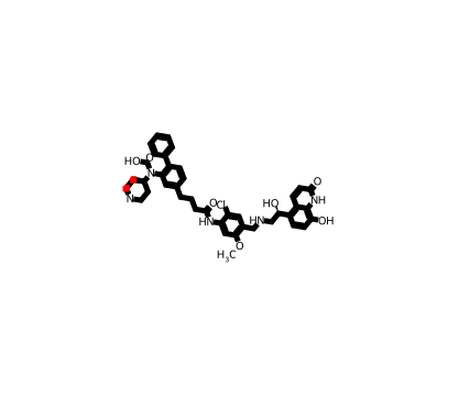 COc1cc(NC(=O)CCCc2ccc(-c3ccccc3)c(N(C(=O)O)C34CCN(CC3)CC4)c2)c(Cl)cc1CNC[C@H](O)c1ccc(O)c2[nH]c(=O)ccc12